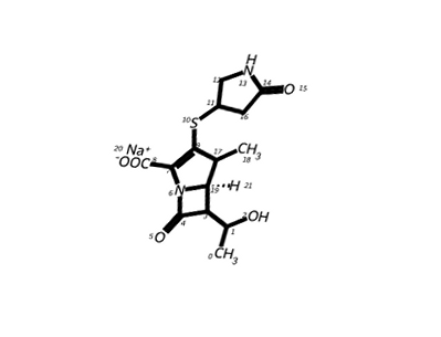 CC(O)C1C(=O)N2C(C(=O)[O-])=C(SC3CNC(=O)C3)C(C)[C@@H]12.[Na+]